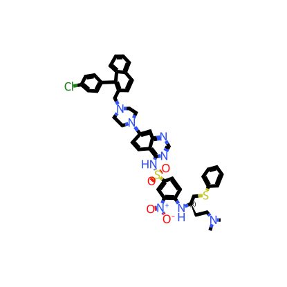 CN(C)CC[C@H](CSc1ccccc1)Nc1ccc(S(=O)(=O)Nc2ncnc3cc(N4CCN(Cc5ccc6ccccc6c5-c5ccc(Cl)cc5)CC4)ccc23)cc1[N+](=O)[O-]